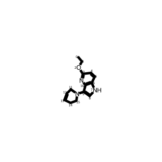 CCOc1ccc2[nH]cc(N3CC=CCC3)c2n1